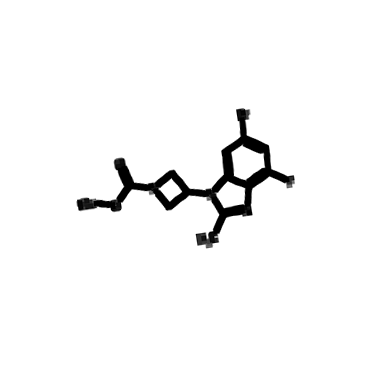 Cc1nc2c(F)cc(Br)cc2n1C1CN(C(=O)OC(C)(C)C)C1